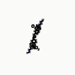 C/C=C/C=C/C1([N+](=O)[O-])Oc2ccc(COCc3ccc4c(c3)OC(/C=C/C=C/C)([N+](=O)[O-])O4)cc2O1